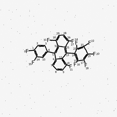 Fc1ccc(-c2c3cccc(F)c3c(-c3c(F)c(F)c(F)c(F)c3F)c3c(F)ccc(F)c23)cc1F